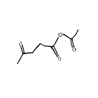 CC(=O)CCC(=O)OC(C)=O